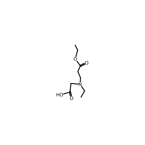 CCOC(=O)CCN(CC)CC(=O)O